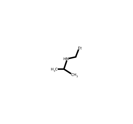 CC[CH]NC(C)C